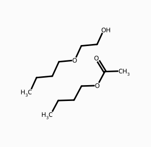 CCCCOC(C)=O.CCCCOCCO